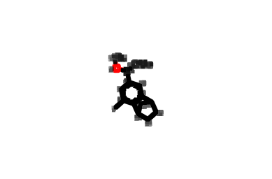 COB(OC(C)(C)C)c1cc(C)c2c(c1)C1CCC2C1